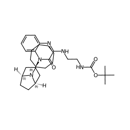 CC(C)(C)OC(=O)NCCNc1nc2ccccc2n([C@H]2C[C@H]3CC[C@@H](C2)N3C2CCCCCCC2)c1=O